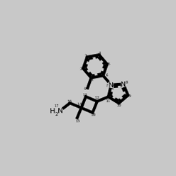 Cc1ccccc1-n1nccc1C1CC(C)(CN)C1